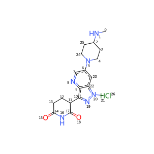 CNC1CCN(c2cnc3c(C4CCC(=O)NC4=O)nn(C)c3c2)CC1.Cl